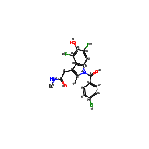 CCNC(=O)Cc1c(C)n(C(=O)c2ccc(Cl)cc2)c2cc(F)c(O)c(F)c12